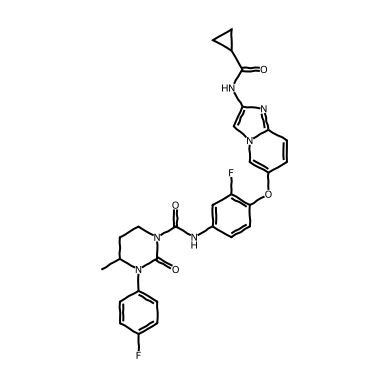 CC1CCN(C(=O)Nc2ccc(Oc3ccc4nc(NC(=O)C5CC5)cn4c3)c(F)c2)C(=O)N1c1ccc(F)cc1